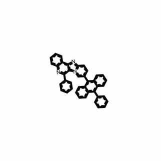 c1ccc(-c2c3ccccc3c(-c3ccc4nc5c6ccccc6nc(-c6ccccc6)c5n4c3)c3ccccc23)cc1